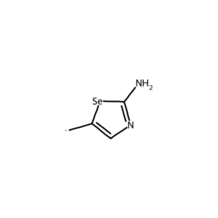 [CH2]c1cnc(N)[se]1